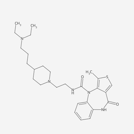 CCN(CC)CCCC1CCN(CCNC(=O)N2c3ccccc3NC(=O)c3csc(C)c32)CC1